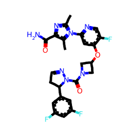 Cc1nc(C(N)=O)c(C)n1-c1cc(OC2CN(C(=O)N3N=CCC3c3cc(F)cc(F)c3)C2)c(F)cn1